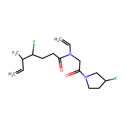 C=CC(C(F)CCC(=O)N(C=C)CC(=O)N1CCC(F)C1)C(F)(F)F